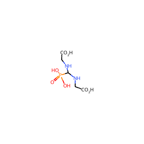 O=C(O)CNC(NCC(=O)O)P(=O)(O)O